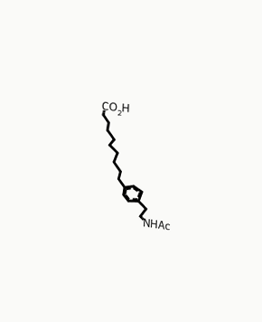 CC(=O)NCCc1ccc(CCCCCCCCCC(=O)O)cc1